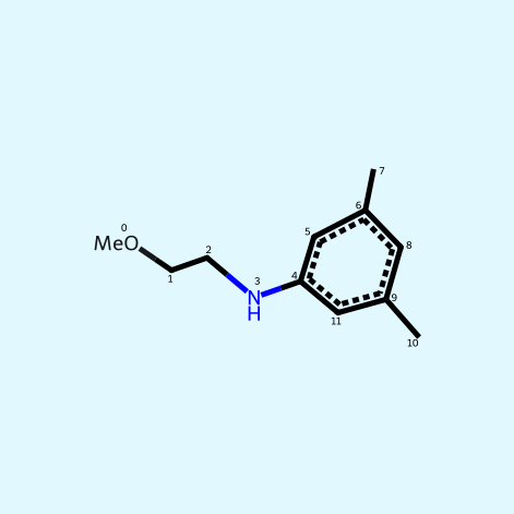 COCCNc1cc(C)cc(C)c1